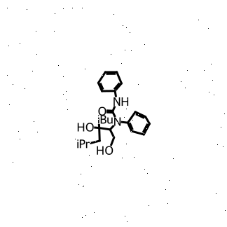 CCC(C)C(O)(CC(C)C)C(CO)N(C(=O)Nc1ccccc1)c1ccccc1